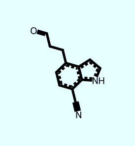 N#Cc1ccc(CCC=O)c2cc[nH]c12